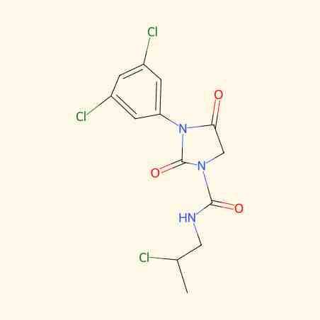 CC(Cl)CNC(=O)N1CC(=O)N(c2cc(Cl)cc(Cl)c2)C1=O